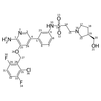 Nc1ncc(-c2cccc(NS(=O)(=O)CCN3CC[C@@H](CO)C3)c2)cc1OCc1c(F)ccc(F)c1Cl